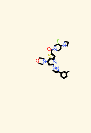 Cc1cccc(-c2ccn(-c3cc(N4CCOCC4)c4sc(C(=O)N5CCC(N6CCC6)C(F)C5)cc4n3)n2)c1